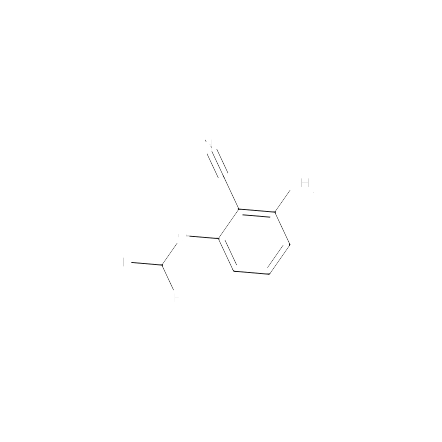 [CH2]c1cccc(OC(F)F)c1C#N